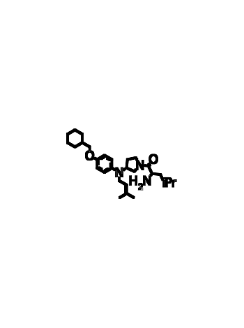 CC(C)=CCN(c1ccc(OCC2CCCCC2)cc1)[C@H]1CCN(C(=O)C(N)CC(C)C)C1